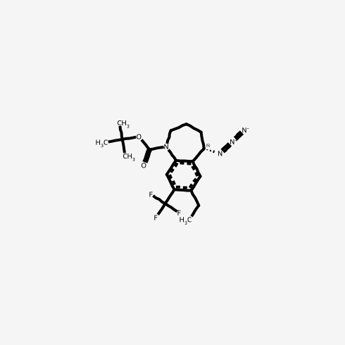 CCc1cc2c(cc1C(F)(F)F)N(C(=O)OC(C)(C)C)CCC[C@@H]2N=[N+]=[N-]